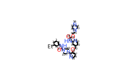 CCc1cccc(NC(=O)N2CCN(c3ncccc3OCc3ccnc(NC(=O)OCCN4CCN(C)CC4)c3)CC2)c1